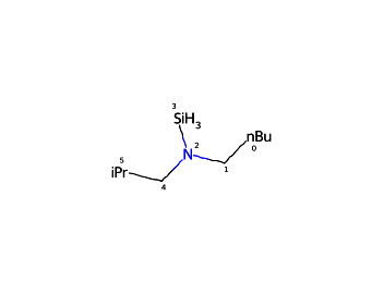 CCCCCN([SiH3])CC(C)C